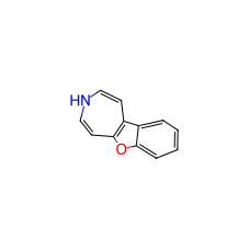 C1=Cc2oc3ccccc3c2C=CN1